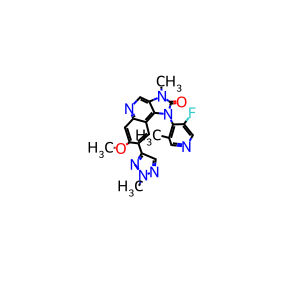 COc1cc2ncc3c(c2cc1-c1cnn(C)n1)n(-c1c(C)cncc1F)c(=O)n3C